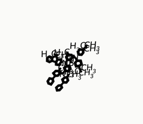 Cc1cc(N(c2ccc(C(C)(C)C)cc2)c2ccc(C(C)(C)C)cc2)c(Br)c(N(c2cccc(N(c3cc(-c4ccccc4)ccc3C)c3cc(-c4ccccc4)ccc3C)c2)c2ccc3c(c2)C(C)(C)c2ccccc2-3)c1